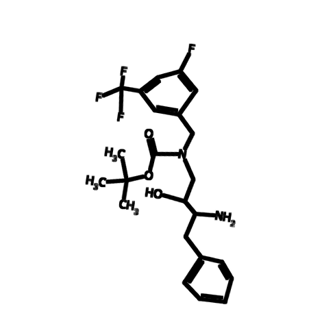 CC(C)(C)OC(=O)N(Cc1cc(F)cc(C(F)(F)F)c1)CC(O)C(N)Cc1ccccc1